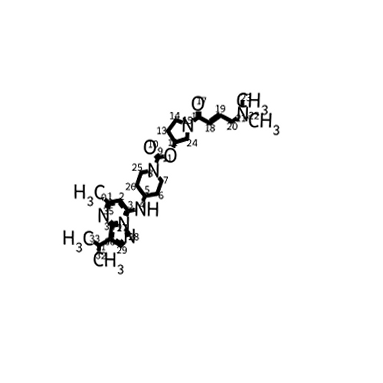 Cc1cc(NC2CCN(C(=O)OC3CCN(C(=O)/C=C/CN(C)C)C3)CC2)n2ncc(C(C)C)c2n1